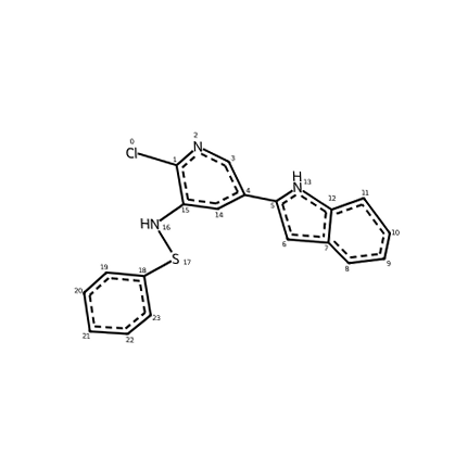 Clc1ncc(-c2cc3ccccc3[nH]2)cc1NSc1ccccc1